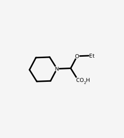 CCOC(C(=O)O)N1CCCCC1